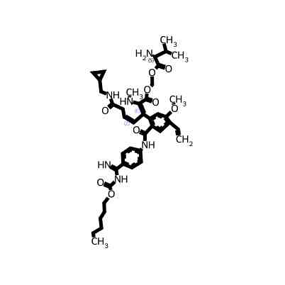 C=Cc1cc(C(=O)Nc2ccc(C(=N)NC(=O)OCCCCCC)cc2)c(C(/C=C\CC(=O)NCC2CC2)=C(/NC)C(=O)OCOC(=O)[C@@H](N)C(C)C)cc1OC